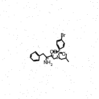 CC(C)CN(C[C@@H](O)[C@@H](N)Cc1ccccc1)S(=O)(=O)c1ccc(Br)cc1